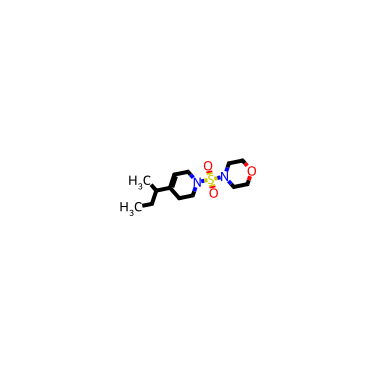 CCC(C)C1=CCN(S(=O)(=O)N2CCOCC2)CC1